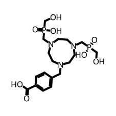 O=C(O)c1ccc(CN2CCN(CP(=O)(O)CO)CCN(CP(=O)(O)CO)CC2)cc1